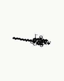 CCCCCCCCCCCCCCOc1ccc(COC(=O)N(Cc2cc[n+](CC)cc2)C(=O)c2ccccc2OC)cc1Cl.[I-]